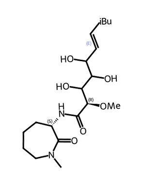 CCC(C)/C=C/C(O)C(O)C(O)[C@@H](OC)C(=O)N[C@H]1CCCCN(C)C1=O